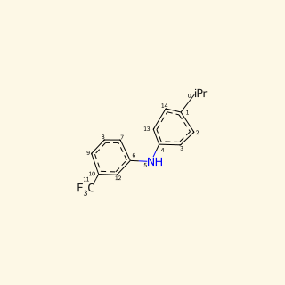 CC(C)c1ccc(Nc2cccc(C(F)(F)F)c2)cc1